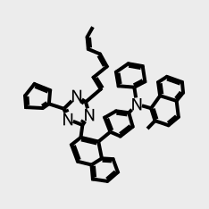 C\C=C/C=C\C=C\c1nc(-c2ccccc2)nc(-c2ccc3ccccc3c2-c2ccc(N(c3ccccc3)c3c(C)ccc4ccccc34)cc2)n1